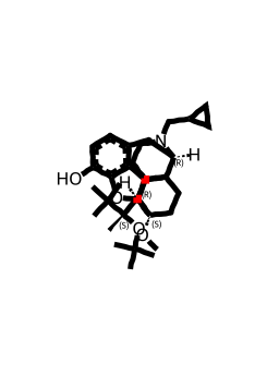 CO[C@@]12CCC3(C[C@@H]1[C@](C)(OC(C)(C)C)C(C)(C)C)[C@H]1Cc4ccc(O)c5c4C3(CCN1CC1CC1)C2O5